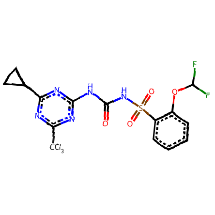 O=C(Nc1nc(C2CC2)nc(C(Cl)(Cl)Cl)n1)NS(=O)(=O)c1ccccc1OC(F)F